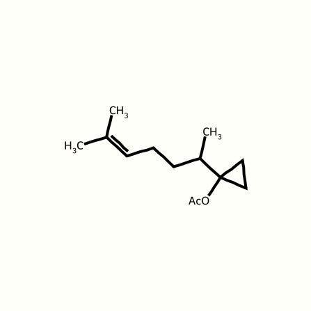 CC(=O)OC1(C(C)CCC=C(C)C)CC1